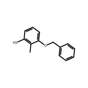 Cc1c(S)cccc1OCc1ccccc1